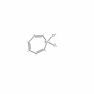 [Cl][Sn]1([Cl])[CH]=CC=CC=[CH]1